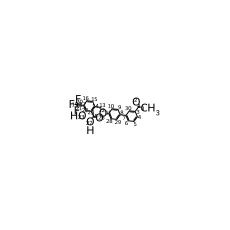 CC(=O)c1cccc(-c2ccc(OCc3ccc(C(F)(F)F)c(O)c3C(=O)O)cc2)c1